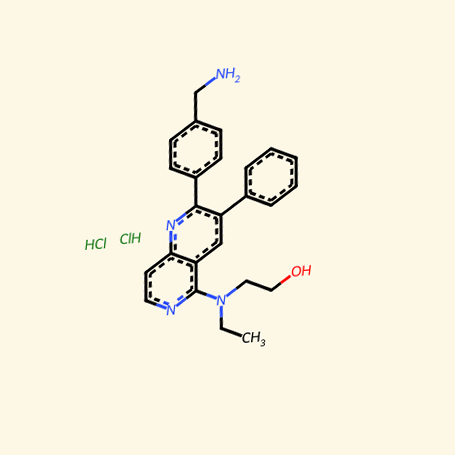 CCN(CCO)c1nccc2nc(-c3ccc(CN)cc3)c(-c3ccccc3)cc12.Cl.Cl